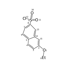 CCOc1ccc2ccc(S(=O)(=O)Cl)cc2c1